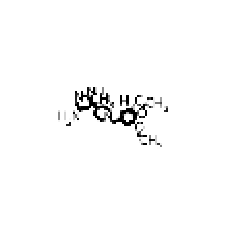 CCOc1cc(CN2CCC(C3(C)C=C(N)C=NC3N)CC2)ccc1OC(C)C